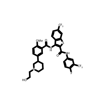 COc1ccc(C2CCCN(CCO)C2)cc1C(=O)Nc1c(C(=O)Nc2ccc(F)c(C(F)(F)F)c2)sc2cc(C(F)(F)F)ccc12